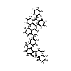 CC1(C)c2cc(-c3ccc(-c4c5ccccc5c(-c5ccccc5)c5ccccc45)c4ccccc34)ccc2-c2c1ccc1sc3c4ccccc4ccc3c21